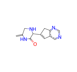 C=C1CNC(C2=Cc3cncnc3C2)C(=O)N1